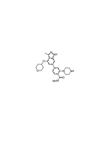 CNC(=O)c1ccc(-c2cc(OC3CCOCC3)c3c(C)n[nH]c3c2)cc1N1CCNCC1